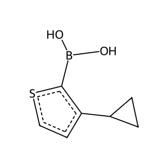 OB(O)c1sccc1C1CC1